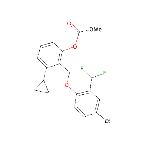 CCc1ccc(OCc2c(OC(=O)OC)cccc2C2CC2)c(C(F)F)c1